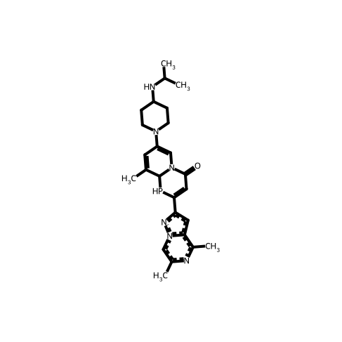 CC1=CC(N2CCC(NC(C)C)CC2)=CN2C(=O)C=C(c3cc4c(C)nc(C)cn4n3)PC12